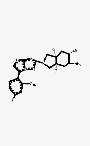 COc1cc(F)ccc1-c1cnc2sc(N3C[C@H]4C[C@H](O)[C@@H](N)C[C@H]4C3)nn12